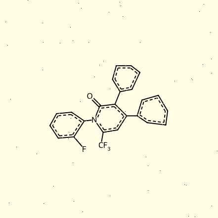 O=c1c(-c2ccccc2)c(-c2ccccc2)cc(C(F)(F)F)n1-c1ccccc1F